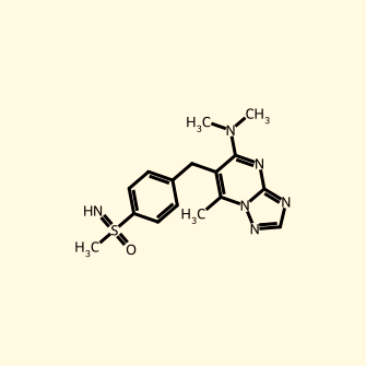 Cc1c(Cc2ccc(S(C)(=N)=O)cc2)c(N(C)C)nc2ncnn12